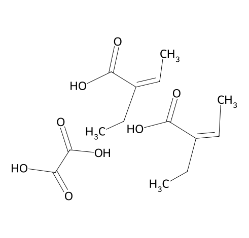 CC=C(CC)C(=O)O.CC=C(CC)C(=O)O.O=C(O)C(=O)O